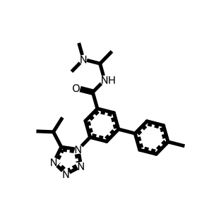 Cc1ccc(-c2cc(C(=O)NC(C)N(C)C)cc(-n3nnnc3C(C)C)c2)cc1